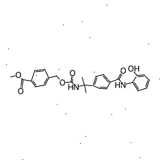 COC(=O)c1ccc(COC(=O)NC(C)(C)c2ccc(C(=O)Nc3ccccc3O)cc2)cc1